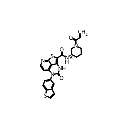 C=CC(=O)N1CCC[C@@H](NC(=O)c2sc3nccc4c3c2NC(=O)N4c2ccc3sccc3c2)C1